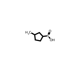 CC1CCC(S(=O)O)C1